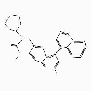 CC(C)(C)OC(=O)N(Cc1ccc2nc(C=O)cc(-c3cccc4cccnc34)c2c1)C1CCOCC1